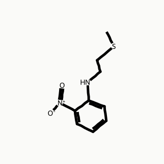 CSCCNc1ccccc1[N+](=O)[O-]